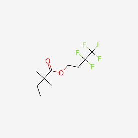 CCC(C)(C)C(=O)OCCC(F)(F)C(F)(F)F